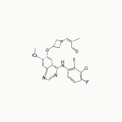 COc1cc2ncnc(Nc3ccc(F)c(Cl)c3F)c2cc1OC1CN(C=C(C)C=O)C1